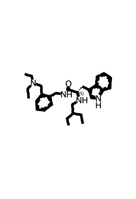 CCC(CC)CN[C@@H](Cc1c[nH]c2ccccc12)C(=O)NCc1ccccc1CN(CC)CC